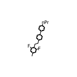 CCCc1ccc(-c2ccc(CCc3c(F)cc(C)cc3F)cc2)cc1